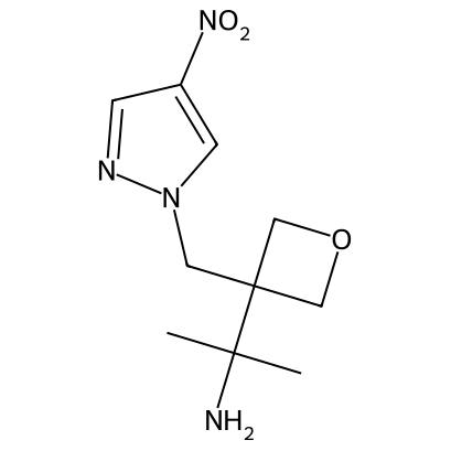 CC(C)(N)C1(Cn2cc([N+](=O)[O-])cn2)COC1